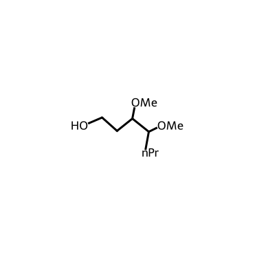 CCCC(OC)C(CCO)OC